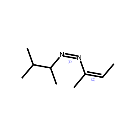 C/C=C(C)\N=N/C(C)C(C)C